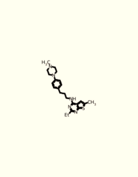 CCc1nc(NCCCc2ccc(N3CCN(C)CC3)cc2)c2cc(C)sc2n1